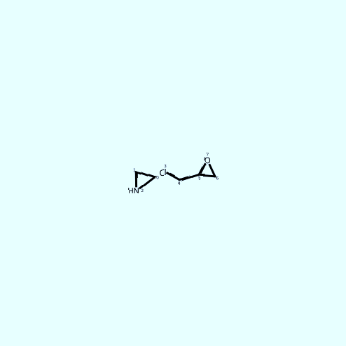 C1CN1.ClCC1CO1